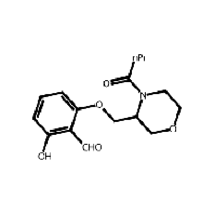 CCCC(=O)N1CCOCC1COc1cccc(O)c1C=O